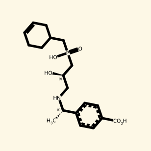 C[C@H](NC[C@@H](O)CP(=O)(O)CC1CC=CCC1)c1ccc(C(=O)O)cc1